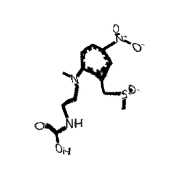 CN(CCNC(=O)O)c1ccc([N+](=O)[O-])cc1C[S+](C)[O-]